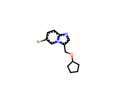 Brc1ccc2ncc(COC3CCCC3)n2c1